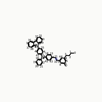 CCCCc1cc(C)cc(/C=C/c2ccc(N(c3ccccc3)c3ccc(-n4c5ccccc5c5ccccc54)cc3)cc2)c1